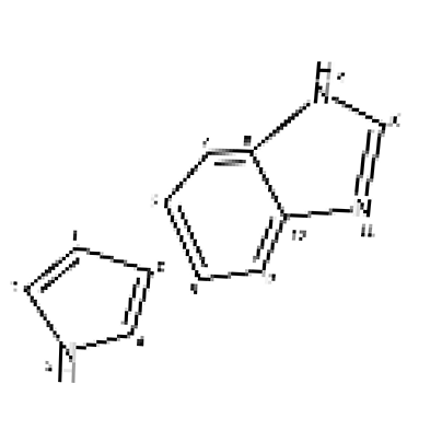 c1cc[nH]c1.c1ccc2[nH]cnc2c1